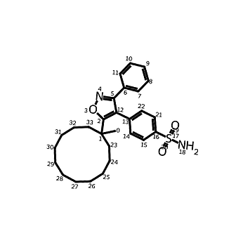 CC1(c2onc(-c3ccccc3)c2-c2ccc(S(N)(=O)=O)cc2)CCCCCCCCCCC1